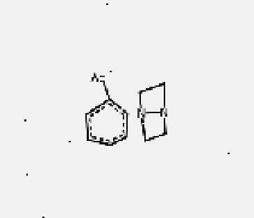 C1CN2CCN12.CC(=O)c1ccccc1